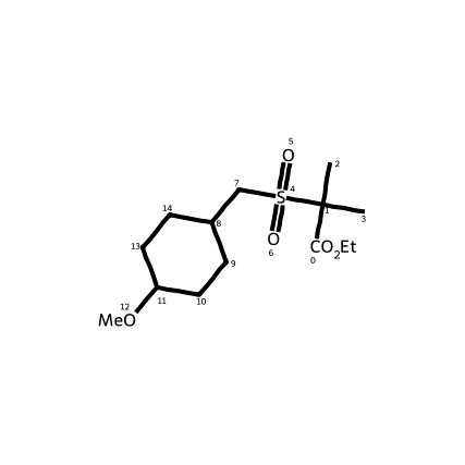 CCOC(=O)C(C)(C)S(=O)(=O)CC1CCC(OC)CC1